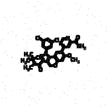 COc1cc2c(cc1-c1cc(C(N)=O)ncn1)-c1c(c(C(=O)N(C)C(C)(C)C)nn1-c1cc(Cl)cc(Cl)c1)CO2